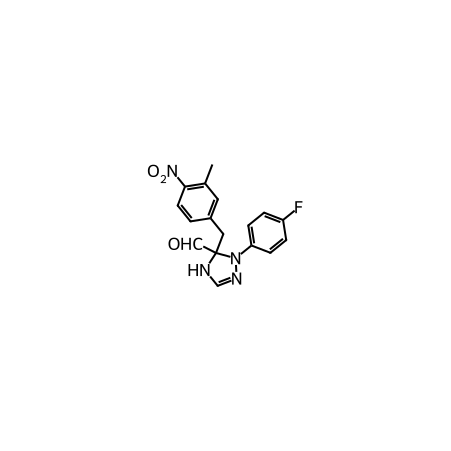 Cc1cc(CC2(C=O)NC=NN2c2ccc(F)cc2)ccc1[N+](=O)[O-]